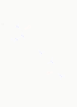 C=CN(C(=O)N(N)c1ccc(N2CCN(C(C(=O)NCC(F)(F)F)c3ccccc3)CC2)cc1)C(C)C